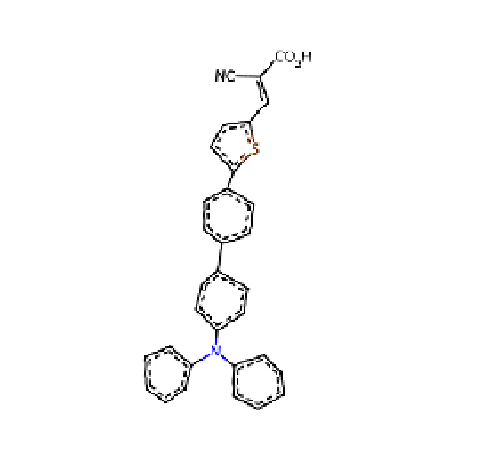 N#C/C(=C\c1ccc(-c2ccc(-c3ccc(N(c4ccccc4)c4ccccc4)cc3)cc2)s1)C(=O)O